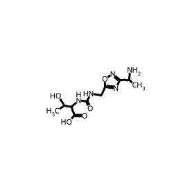 CC(N)c1noc(CNC(=O)NC(C(=O)O)C(C)O)n1